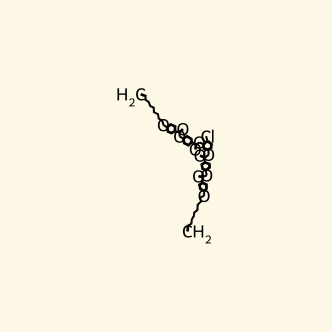 C=CCCCCCCCCOc1ccc(C(=O)Oc2ccc(C(=O)Oc3ccc(Cl)c(OC(=O)c4ccc(OC(=O)c5ccc(OCCCCCCCCC=C)cc5)cc4)c3)cc2)cc1